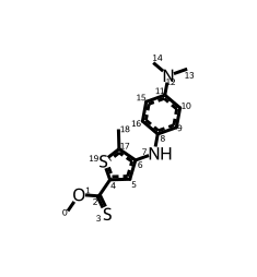 COC(=S)c1cc(Nc2ccc(N(C)C)cc2)c(C)s1